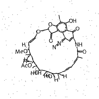 CO[C@H]1/C=C/O[C@@]2(C)Oc3c(C)c(O)c4c(c3C2=O)C(=[N+]=[N-])C=C(NC(=O)/C(C)=C\C=C\[C@H](C)[C@H](O)[C@@H](C)[C@@H](O)[C@@H](C)[C@H](OC(C)=O)[C@@H]1C)C4=O